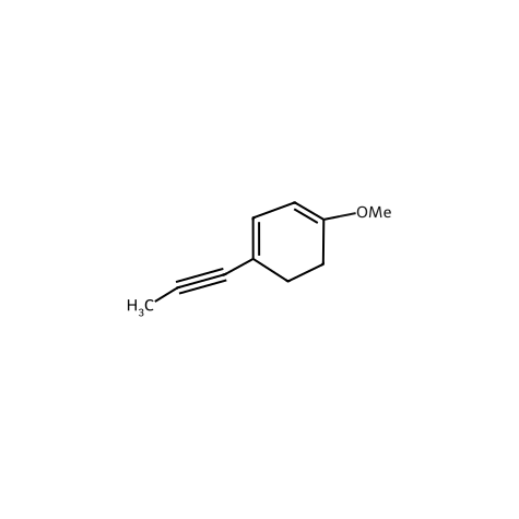 CC#CC1=CC=C(OC)CC1